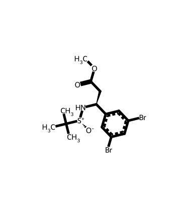 COC(=O)C[C@H](N[S@+]([O-])C(C)(C)C)c1cc(Br)cc(Br)c1